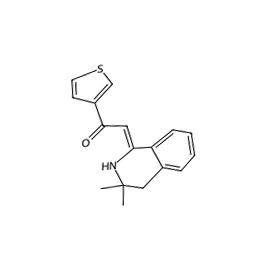 CC1(C)Cc2ccccc2C(=CC(=O)c2ccsc2)N1